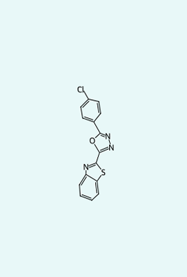 Clc1ccc(-c2nnc(-c3nc4ccccc4s3)o2)cc1